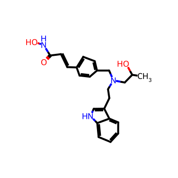 CC(O)CN(CCc1c[nH]c2ccccc12)Cc1ccc(/C=C/C(=O)NO)cc1